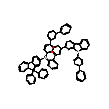 c1ccc(-c2ccc(-n3c4ccccc4c4ccc(-c5cccc(-c6ccccc6N(c6ccc(-c7cccc(-c8ccccc8)c7)cc6)c6ccc7c(c6)C(c6ccccc6)(c6ccccc6)c6ccccc6-7)c5)cc43)cc2)cc1